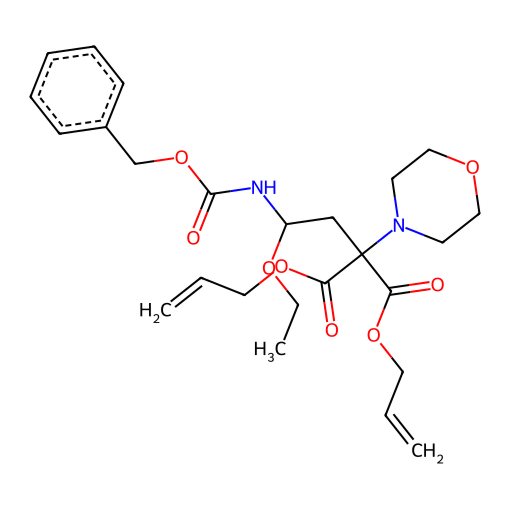 C=CCOC(=O)C(CC(NC(=O)OCc1ccccc1)OCC)(C(=O)OCC=C)N1CCOCC1